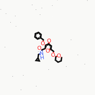 O=C(NCC1CC1)c1oc(COC2CCCCO2)cc(=O)c1OCc1ccccc1